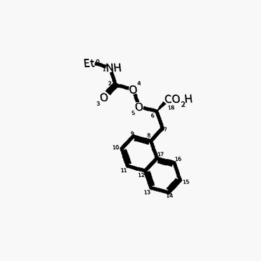 CCNC(=O)OO[C@H](Cc1cccc2ccccc12)C(=O)O